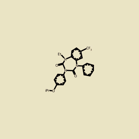 CCN1C(=O)N(c2ccc(OC(C)C)cc2)C(=O)N(c2ccccc2)c2cc(C(F)(F)F)ccc21